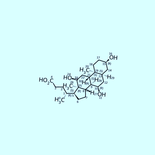 C[C@H](CCC(=O)O)[C@@H]1CC[C@H]2[C@@H]3[C@H](O)C[C@@H]4C[C@H](O)CC[C@]4(C)[C@H]3C[C@H](O)[C@@]21C